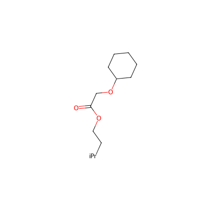 CC(C)CCOC(=O)COC1CCCCC1